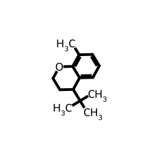 Cc1cccc2c1OCCC2C(C)(C)C